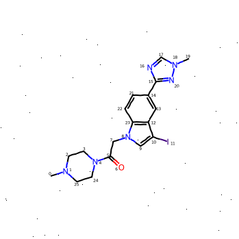 CN1CCN(C(=O)Cn2cc(I)c3cc(-c4ncn(C)n4)ccc32)CC1